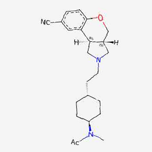 CC(=O)N(C)[C@H]1CC[C@H](CCN2C[C@H]3COc4ccc(C#N)cc4[C@@H]3C2)CC1